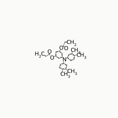 C=CC(=O)Oc1cc(OC(=O)C=C)cc(N(c2ccc(C)c(C)c2)c2ccc(C)c(C)c2)c1